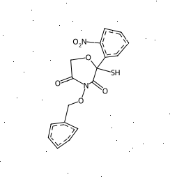 O=C1COC(S)(c2ccccc2[N+](=O)[O-])C(=O)N1OCc1ccccc1